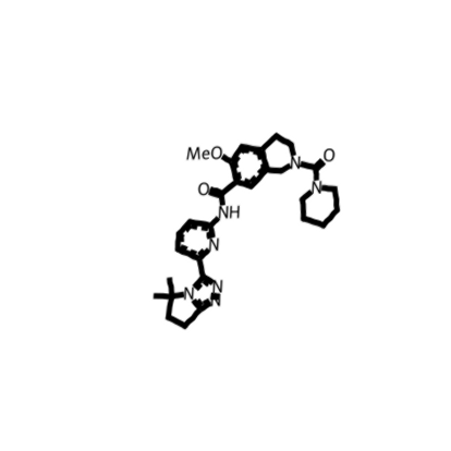 COc1cc2c(cc1C(=O)Nc1cccc(-c3nnc4n3C(C)(C)CC4)n1)CN(C(=O)N1CCCCC1)CC2